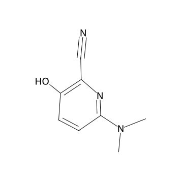 CN(C)c1ccc(O)c(C#N)n1